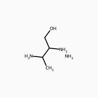 CC(N)C(N)CO.N